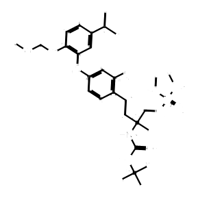 COCOc1ccc(C(C)C)cc1Sc1ccc(CCC(C)(COP(=O)(OC)OC)NC(=O)OC(C)(C)C)c(Cl)c1